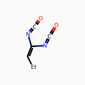 CCC=C(N=C=O)N=C=O